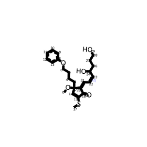 COC1(CCCCOc2ccccc2)C=C(SC)C(=O)C1=C/C=C\C(O)CCCO